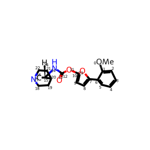 COc1ccccc1-c1ccc(OC(=O)N[C@H]2CN3CCC2CC3)o1